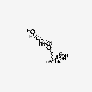 CCCN(CCCOc1ccc2c(Nc3cc(CC(=O)Nc4cccc(F)c4)[nH]n3)ncnc2c1)C(COP(=O)(O)O)(C(C)(C)C)C(C)(C)C